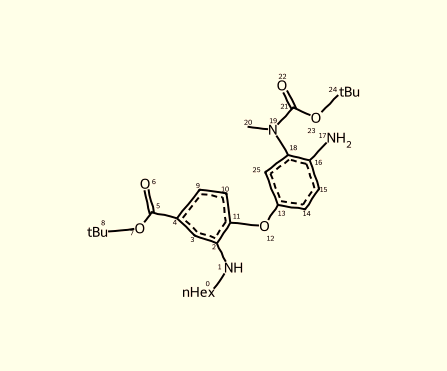 CCCCCCNc1cc(C(=O)OC(C)(C)C)ccc1Oc1ccc(N)c(N(C)C(=O)OC(C)(C)C)c1